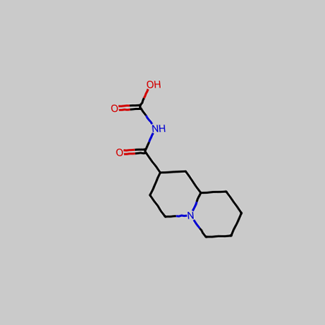 O=C(O)NC(=O)C1CCN2CCCCC2C1